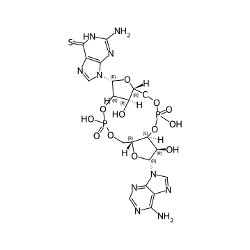 Nc1nc2c(ncn2[C@@H]2O[C@@H]3COP(=O)(O)O[C@H]4[C@@H](O)[C@H](n5cnc6c(N)ncnc65)O[C@@H]4COP(=O)(O)O[C@@H]2[C@@H]3O)c(=S)[nH]1